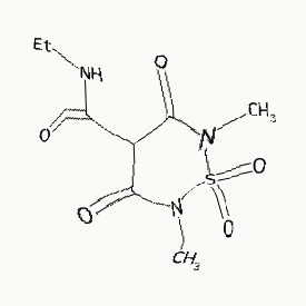 CCNC(=O)C1C(=O)N(C)S(=O)(=O)N(C)C1=O